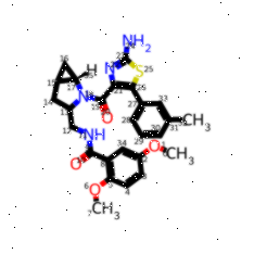 COc1ccc(OC)c(C(=O)NCC2CC3C[C@@H]3N2C(=O)c2nc(N)sc2-c2cccc(C)c2)c1